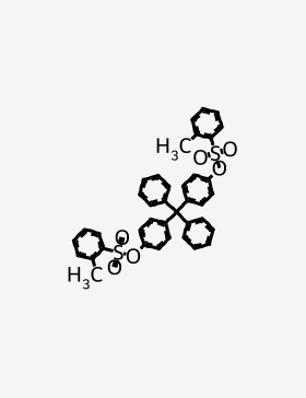 Cc1ccccc1S(=O)(=O)Oc1ccc(C(c2ccccc2)(c2ccccc2)c2ccc(OS(=O)(=O)c3ccccc3C)cc2)cc1